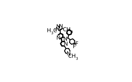 Cc1nnn(C)c1-c1cnc2c3ccc(C4CCN(C)CC4)nc3n(C(c3ccccc3)C3CCC(F)(F)CC3)c2c1